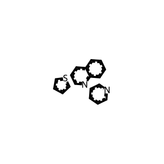 c1ccc2ncccc2c1.c1ccncc1.c1ccsc1